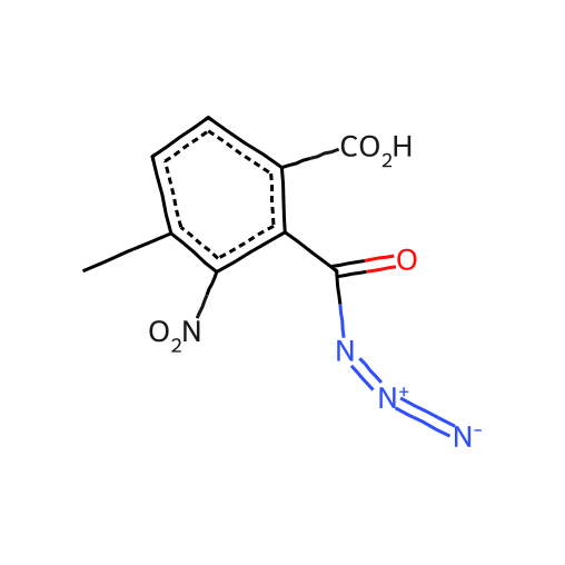 Cc1ccc(C(=O)O)c(C(=O)N=[N+]=[N-])c1[N+](=O)[O-]